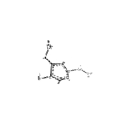 CC(C)Oc1ccc(Br)c(CO)c1